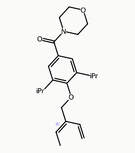 C=C/C(=C\C)COc1c(C(C)C)cc(C(=O)N2CCOCC2)cc1C(C)C